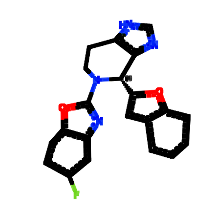 Fc1ccc2oc(N3CCc4[nH]cnc4[C@@H]3c3cc4ccccc4o3)nc2c1